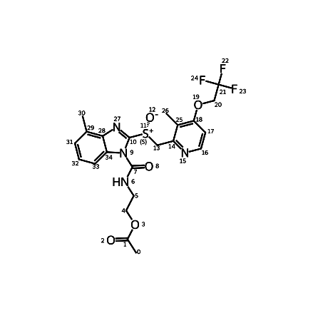 CC(=O)OCCNC(=O)n1c([S@+]([O-])Cc2nccc(OCC(F)(F)F)c2C)nc2c(C)cccc21